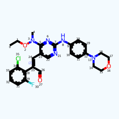 CCON(C)c1nc(Nc2ccc(N3CCOCC3)cc2)ncc1/C=C(\C=O)c1c(F)cccc1Cl